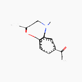 CCN1CC(C(=O)O)Oc2ccc(C(=O)OC)cc21